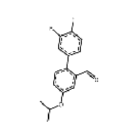 CC(C)Oc1ccc(-c2ccc(F)c(F)c2)c(C=O)c1